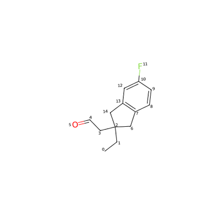 CCC1(CC=O)Cc2ccc(F)cc2C1